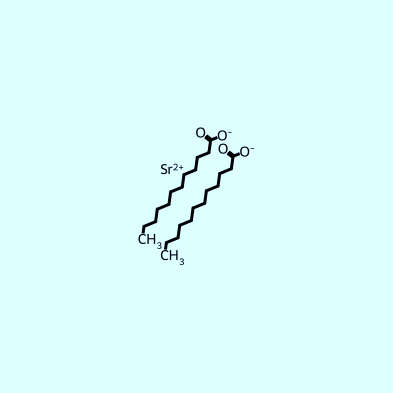 CCCCCCCCCCCC(=O)[O-].CCCCCCCCCCCC(=O)[O-].[Sr+2]